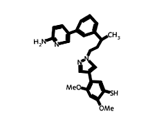 COc1cc(OC)c(-c2cnn(CCC(C)c3cccc(-c4ccc(N)nc4)c3)c2)cc1S